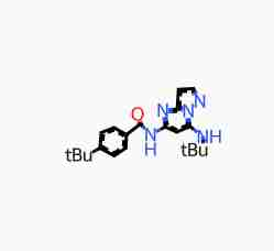 CC(C)(C)Nc1cc(NC(=O)c2ccc(C(C)(C)C)cc2)nc2ccnn12